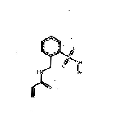 C=CC(=O)NCc1ccccc1S(=O)(=O)NC(C)C